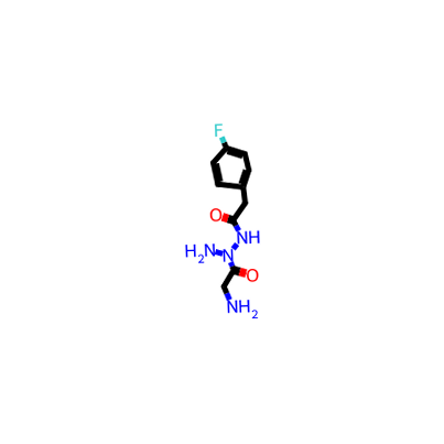 NCC(=O)N(N)NC(=O)Cc1ccc(F)cc1